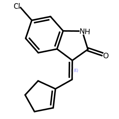 O=C1Nc2cc(Cl)ccc2/C1=C\C1=CCCC1